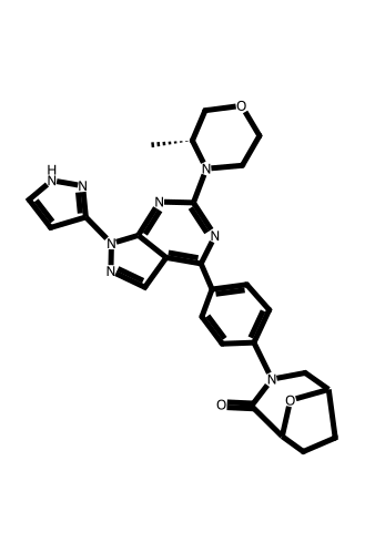 C[C@@H]1COCCN1c1nc(-c2ccc(N3CC4CCC(O4)C3=O)cc2)c2cnn(-c3cc[nH]n3)c2n1